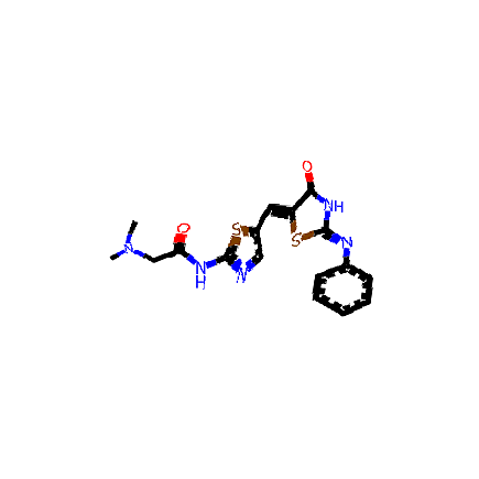 CN(C)CC(=O)Nc1ncc(/C=C2\S/C(=N\c3ccccc3)NC2=O)s1